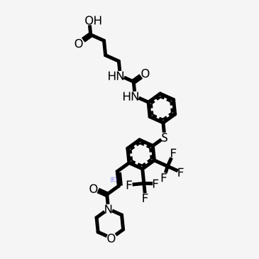 O=C(O)CCCNC(=O)Nc1cccc(Sc2ccc(/C=C/C(=O)N3CCOCC3)c(C(F)(F)F)c2C(F)(F)F)c1